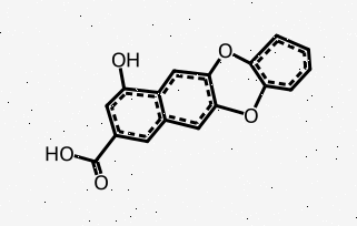 O=C(O)c1cc(O)c2cc3c(cc2c1)Oc1ccccc1O3